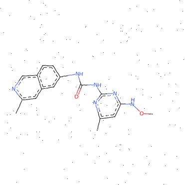 CONc1cc(C)nc(NC(=O)Nc2ccc3cnc(C)cc3c2)n1